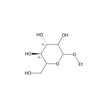 CCOC1OC(CO)[C@@H](O)[C@H](O)C1O